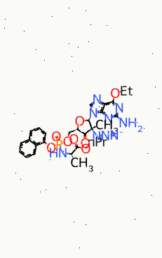 CCCOC(=O)[C@H](C)NP(=O)(OC[C@H]1O[C@@H](n2cnc3c(OCC)nc(N)nc32)[C@](C)(N=[N+]=[N-])C1=O)Oc1cccc2ccccc12